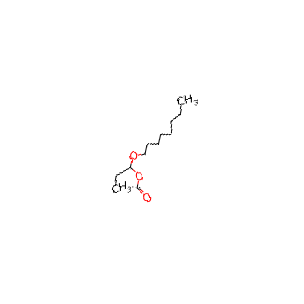 CCCCCCCCOC(CC)O[C]=O